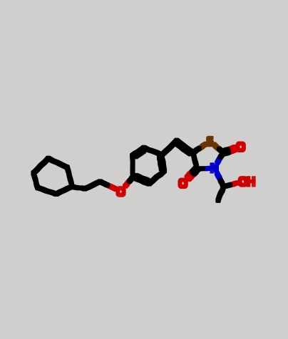 CC(O)N1C(=O)S/C(=C/c2ccc(OCCC3CCCCC3)cc2)C1=O